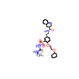 CNC(=S)NS(=O)(=O)c1cc(CCNC(=O)c2cnc3ccccc3c2)ccc1OCCOc1ccccc1